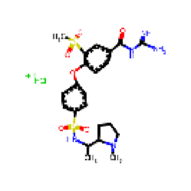 CC(NS(=O)(=O)c1ccc(Oc2ccc(C(=O)NC(=N)N)cc2S(C)(=O)=O)cc1)C1CCCN1C.Cl.Cl